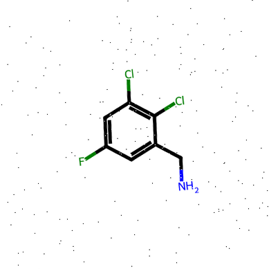 NCc1cc(F)cc(Cl)c1Cl